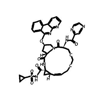 O=C(N[C@H]1CCCCC/C=C\[C@@H]2C[C@@]2(C(=O)NS(=O)(=O)C2CC2)NC(=O)[C@@H]2C[C@@H](Oc3nc4ncccc4c4ccccc34)CN2C1=O)c1cnccn1